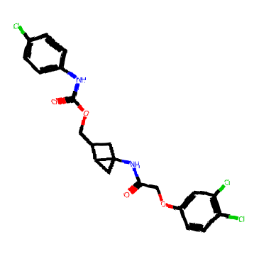 O=C(COc1ccc(Cl)c(Cl)c1)NC12CC(COC(=O)Nc3ccc(Cl)cc3)C1C2